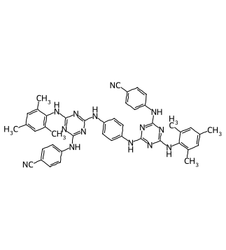 Cc1cc(C)c(Nc2nc(Nc3ccc(C#N)cc3)nc(Nc3ccc(Nc4nc(Nc5ccc(C#N)cc5)nc(Nc5c(C)cc(C)cc5C)n4)cc3)n2)c(C)c1